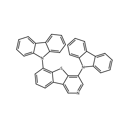 c1cc(-n2c3ccccc3c3ccccc32)c2sc3c(-n4c5ccccc5c5ccccc54)cncc3c2c1